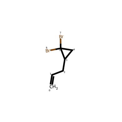 C=CCC1CC1(Br)Br